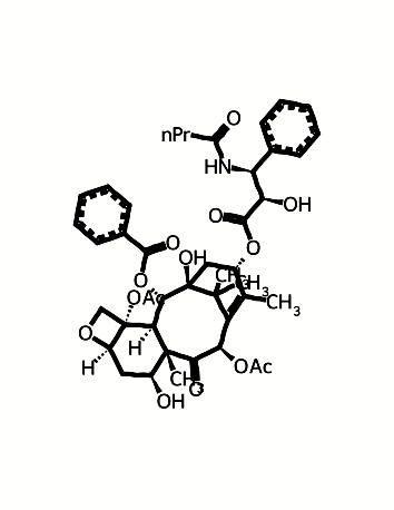 CCCC(=O)N[C@@H](c1ccccc1)[C@@H](O)C(=O)O[C@H]1C[C@@]2(O)[C@@H](OC(=O)c3ccccc3)[C@@H]3[C@]4(OC(C)=O)CO[C@@H]4C[C@H](O)[C@@]3(C)C(=O)[C@H](OC(C)=O)C(=C1C)C2(C)C